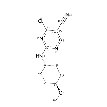 CO[C@H]1CC[C@H](Nc2ncc(C#N)c(Cl)n2)CC1